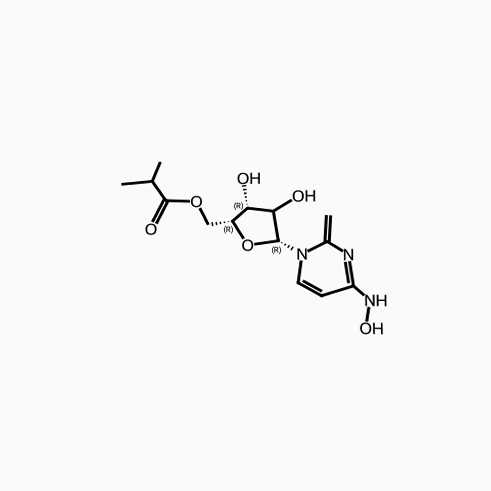 C=C1N=C(NO)C=CN1[C@@H]1O[C@H](COC(=O)C(C)C)[C@H](O)C1O